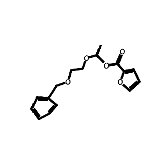 CC(OCCOCc1ccccc1)OC(=O)c1ccco1